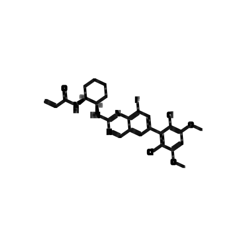 C=CC(=O)N[C@H]1CCCC[C@H]1Nc1ncc2cc(-c3c(Cl)c(OC)cc(OC)c3Cl)cc(F)c2n1